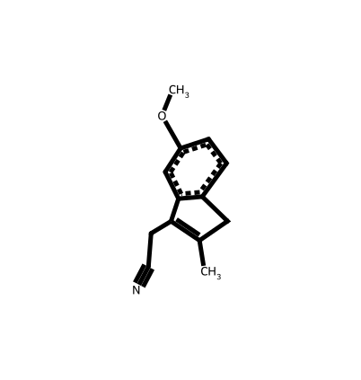 COc1ccc2c(c1)C(CC#N)=C(C)C2